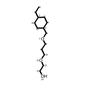 CCC1CCC(COCCCOCCO)CC1